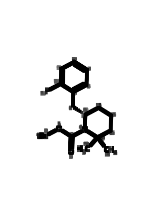 CC(C)(C)OC(=O)N1[C@H](Cc2ccccc2F)CCCC1(C)C